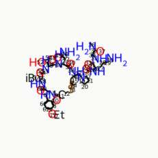 CCOc1ccc(C[C@H]2NC(=O)CCSSCC(CN3CCC[C@H]3C(=O)N[C@@H](CCCN)C(=O)NCC(N)=O)NC(=O)[C@H](CC(N)=O)NC(=O)C([C@@H](C)O)NC(=O)C([C@@H](C)CC)NC2=O)cc1